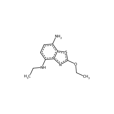 CCNc1ccc(N)c2sc(OCC)nc12